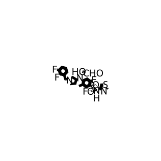 Cc1c(N(C)[C@H]2CCN(Cc3cccc(F)c3F)C2)cc(F)c(S(=O)(=O)Nc2cscn2)c1F.O=CO